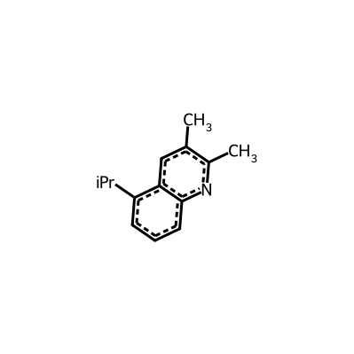 Cc1cc2c(C(C)C)cccc2nc1C